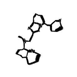 CN(CC1CN2C(c3cccnc3)=CC=CC2=N1)C1CCCc2cccnc21